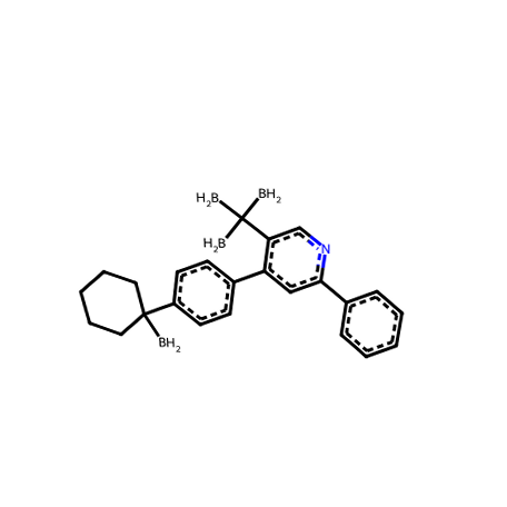 BC(B)(B)c1cnc(-c2ccccc2)cc1-c1ccc(C2(B)CCCCC2)cc1